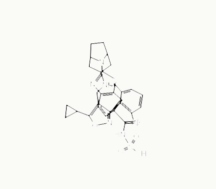 CS(=O)(=O)NC(=O)c1ccc2nc(N3C4CCC3CC(NCc3c(-c5c(Cl)cccc5Cl)noc3C3CC3)C4)sc2c1